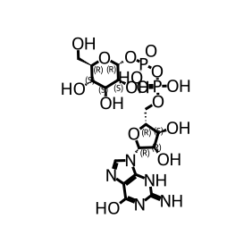 N=c1nc(O)c2ncn([C@@H]3O[C@H](COP(=O)(O)OP(=O)(O)O[C@H]4O[C@H](CO)[C@@H](O)[C@H](O)[C@@H]4O)[C@@H](O)[C@H]3O)c2[nH]1